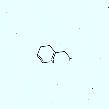 FCC1=NC=CCC1